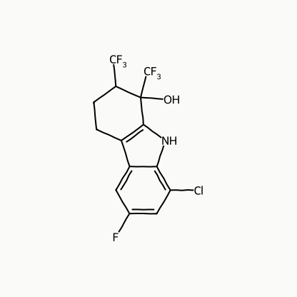 OC1(C(F)(F)F)c2[nH]c3c(Cl)cc(F)cc3c2CCC1C(F)(F)F